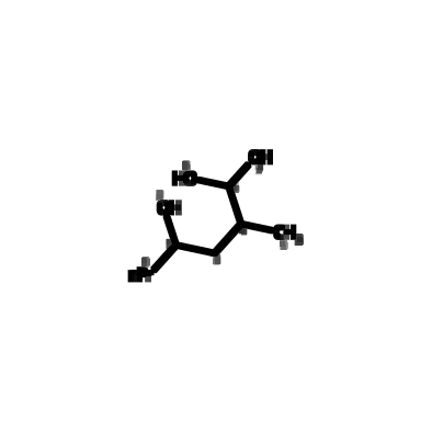 CCCC(O)CC(C)C(O)O